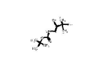 CC(C)(C)OC(=O)NCC(F)C(C)(C)F